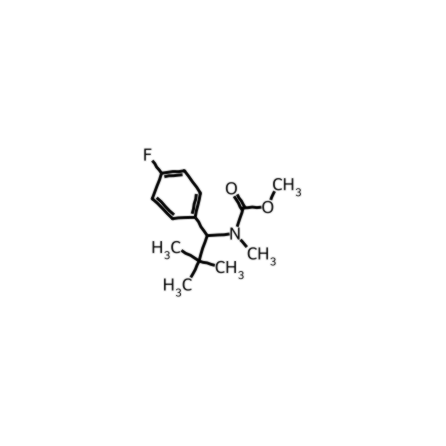 COC(=O)N(C)C(c1ccc(F)cc1)C(C)(C)C